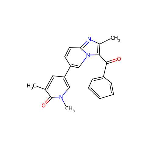 Cc1nc2ccc(-c3cc(C)c(=O)n(C)c3)cn2c1C(=O)c1ccccc1